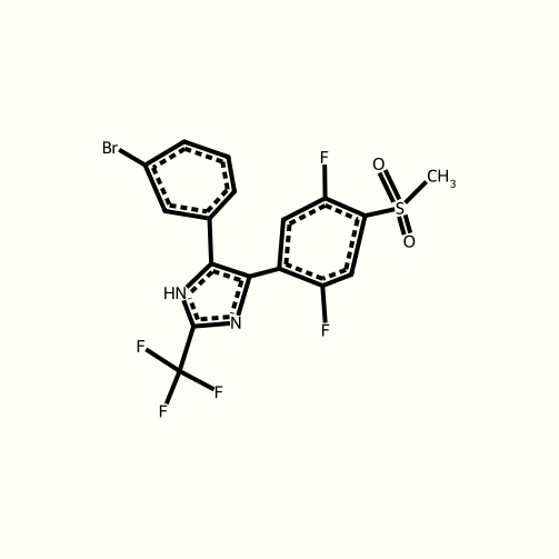 CS(=O)(=O)c1cc(F)c(-c2nc(C(F)(F)F)[nH]c2-c2cccc(Br)c2)cc1F